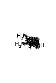 C=CC[C@H](NC(=O)[C@H](CCCCN)NC(=O)[C@H](CCCCN)NC(=O)[C@H](C)N)C(=O)N[C@@H](Cc1ccccn1)C(=O)N[C@@H](CC(C)C)C(=O)O